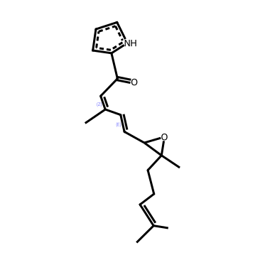 CC(C)=CCCC1(C)OC1/C=C/C(C)=C\C(=O)c1ccc[nH]1